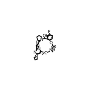 CN1CCN(C)S(=O)(=O)COc2ccc(F)cc2C(O)N2CCCC[C@H]2c2cc3nc(N4CCC4)cc1n3n2